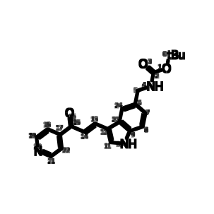 CC(C)(C)OC(=O)NCc1ccc2[nH]cc(/C=C/C(=O)c3ccncc3)c2c1